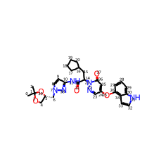 CC1(C)OC[C@@H](Cn2ccc(NC(=O)C(CC3CCCC3)n3ncc(Oc4cccc5[nH]ccc45)cc3=O)n2)O1